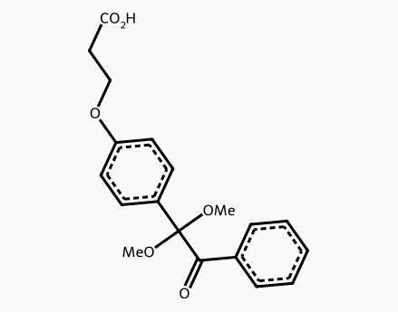 COC(OC)(C(=O)c1ccccc1)c1ccc(OCCC(=O)O)cc1